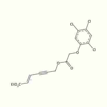 CCOC(=O)/C=C/C#CCOC(=O)COc1cc(Cl)c(Cl)cc1Cl